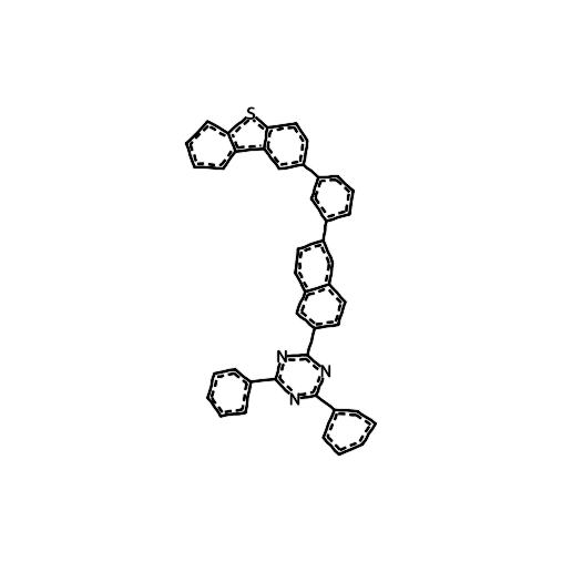 c1ccc(-c2nc(-c3ccccc3)nc(-c3ccc4cc(-c5cccc(-c6ccc7sc8ccccc8c7c6)c5)ccc4c3)n2)cc1